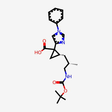 C[C@H](CNC(=O)OC(C)(C)C)C[C@@H]1CC1(C(=O)O)c1cn(-c2ccccc2)cn1